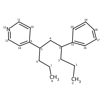 CCCC(CC(CCC)c1ccncc1)c1ccccc1